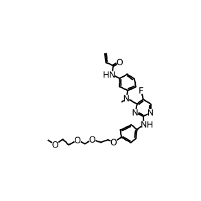 C=CC(=O)Nc1cccc(N(C)c2nc(Nc3ccc(OCCOCOCCOC)cc3)ncc2F)c1